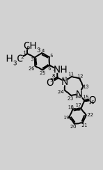 CC(C)c1ccc(NC(=O)N2CCCN(C(=O)c3ccccc3)CC2)cc1